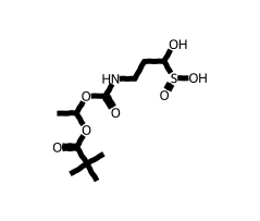 CC(OC(=O)NCCC(O)S(=O)O)OC(=O)C(C)(C)C